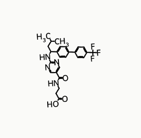 CC(C)CC(Nc1ncc(C(=O)NCCC(=O)O)cn1)c1ccc(-c2ccc(C(F)(F)F)cc2)cc1